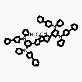 CC1(C)c2cc(-c3cc(N(c4ccccc4)c4ccc(-c5ccccc5)cc4)cc(N(c4ccccc4)c4ccc(-c5ccccc5)cc4)c3)ccc2-c2ccc(-c3cc(N(c4ccccc4)c4ccc(-c5ccccc5)cc4)cc(N(c4ccccc4)c4ccc(-c5ccccc5)cc4)c3)cc21